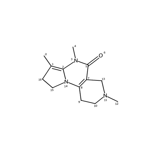 CC1=C2N(C)C(=O)C3=C(CCN(C)C3)N2CC1